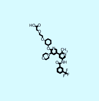 Cc1ncc(NC(=O)c2cccc(C(F)(F)F)c2)cc1-c1cnc(O[C@@H]2CCC[C@@H](OCCOCC(=O)O)C2)c(N2CCOCC2)c1